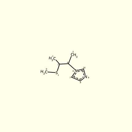 CSC(C)C(C)n1ccnc1